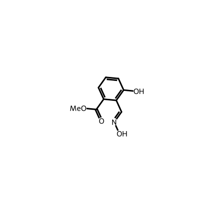 COC(=O)c1cccc(O)c1C=NO